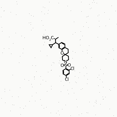 C[C@H](C(=O)O)C(c1ccc2c(c1)OC1(CC2)CCN(S(=O)(=O)c2ccc(Cl)cc2Cl)CC1)C1CC1